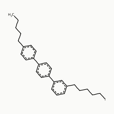 CCCCCc1ccc(-c2ccc(-c3cccc(CCCCCI)c3)cc2)cc1